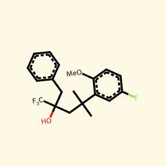 COc1ccc(F)cc1C(C)(C)CC(O)(Cc1ccccc1)C(F)(F)F